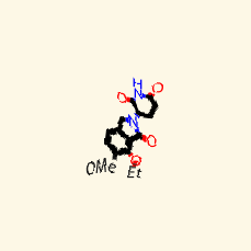 CCOc1c(OC)ccc2c1C(=O)N(C1CCC(=O)NC1=O)C2